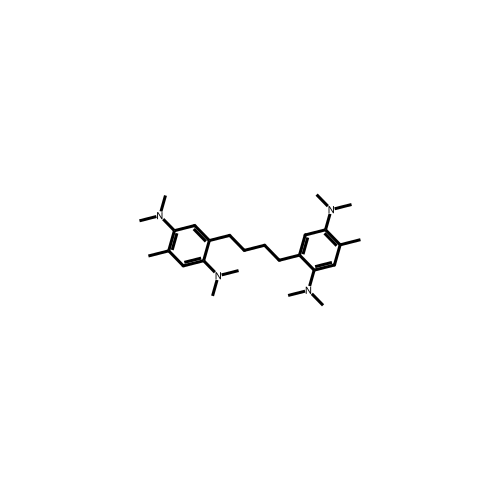 Cc1cc(N(C)C)c(CCCCc2cc(N(C)C)c(C)cc2N(C)C)cc1N(C)C